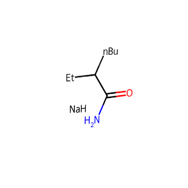 CCCCC(CC)C(N)=O.[NaH]